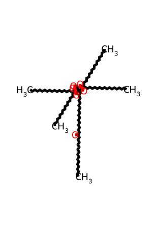 CCCCCCCCCCCCCCCCCCCC(=O)C([C]=O)(C(=O)CCCCCCCCCCCCCCCCC)C(CCCCCCCCCCCCCCCCCC(=O)CCCCCCCCCCCCCCCCC)(C(=O)CCCCCCCCCCCCCCCCCCC)C(=O)CCCCCCCCCCCCCCCCCCC